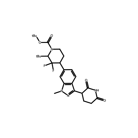 Cn1nc(C2CCC(=O)NC2=O)c2ccc(C3CCN(C(=O)OC(C)(C)C)C(C(C)(C)C)C3(F)F)cc21